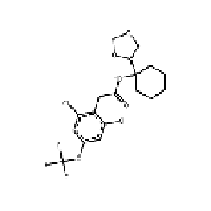 O=C(Cc1c(Cl)cc(OC(F)(F)F)cc1Cl)NC1(C2COCO2)CCCCC1